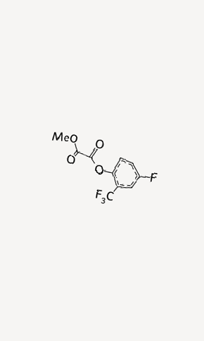 COC(=O)C(=O)Oc1ccc(F)cc1C(F)(F)F